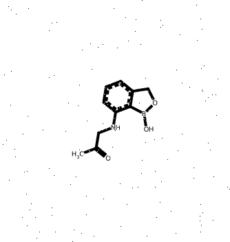 CC(=O)CNc1cccc2c1B(O)OC2